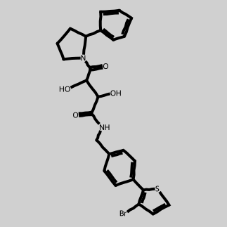 O=C(NCc1ccc(-c2sccc2Br)cc1)C(O)C(O)C(=O)N1CCCC1c1ccccc1